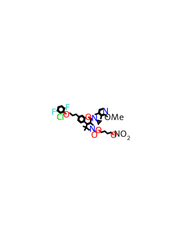 COc1nccc(CN(C(=O)C2=C(c3ccc(CCCOc4c(F)ccc(F)c4Cl)cc3)C(C)(C)CN(C(=O)OCCCCO[N+](=O)[O-])C2)C2CC2)c1C